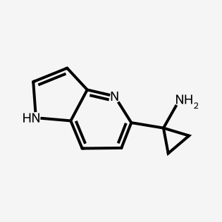 NC1(c2ccc3[nH]ccc3n2)CC1